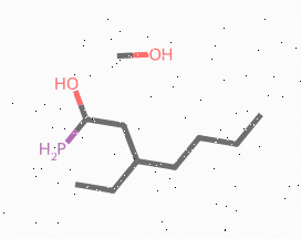 CCCCC(CC)CC(O)P.CO